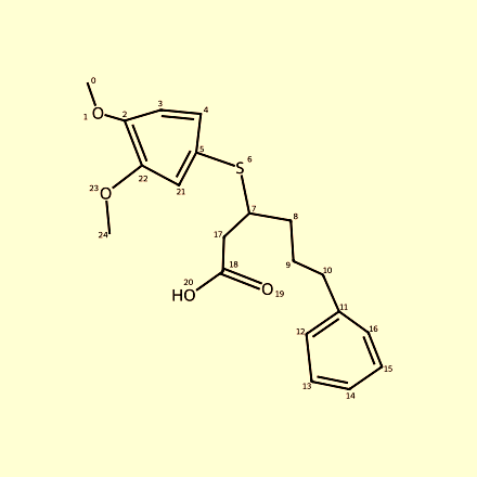 COc1ccc(SC(CCCc2ccccc2)CC(=O)O)cc1OC